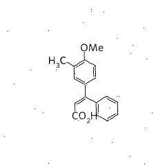 COc1ccc(C(=CC(=O)O)c2ccccc2)cc1C